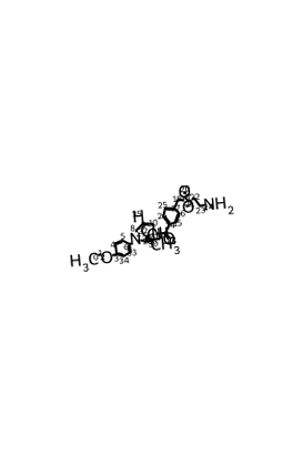 CCOc1ccc(N2C[C@H]3CN(C(=O)c4ccc(CS(=O)(=O)CCN)cc4)CC2C(C)(C)C3)cc1